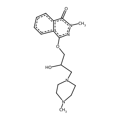 CN1CCN(CC(O)COc2nn(C)c(=O)c3ccccc23)CC1